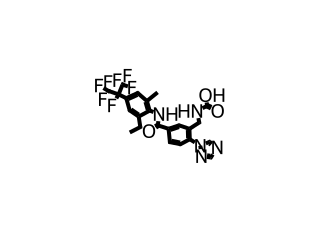 CCc1cc(C(F)(C(F)(F)F)C(F)(F)F)cc(C)c1NC(=O)c1ccc(-n2cncn2)c(CNC(=O)O)c1